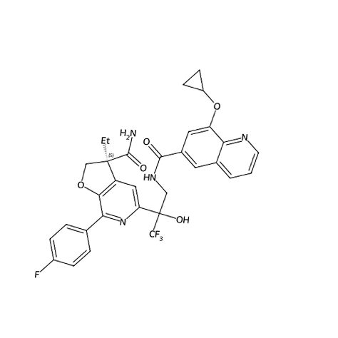 CC[C@@]1(C(N)=O)COc2c1cc(C(O)(CNC(=O)c1cc(OC3CC3)c3ncccc3c1)C(F)(F)F)nc2-c1ccc(F)cc1